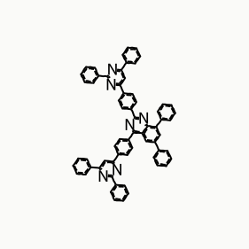 c1ccc(-c2cc(-c3ccccc3)c3nc(-c4ccc(-c5cc(-c6ccccc6)nc(-c6ccccc6)n5)cc4)nc(-c4ccc(-c5cc(-c6ccccc6)nc(-c6ccccc6)n5)cc4)c3c2)cc1